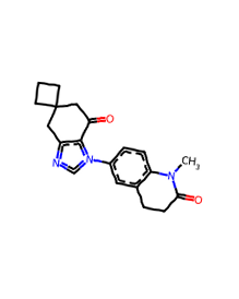 CN1C(=O)CCc2cc(-n3cnc4c3C(=O)CC3(CCC3)C4)ccc21